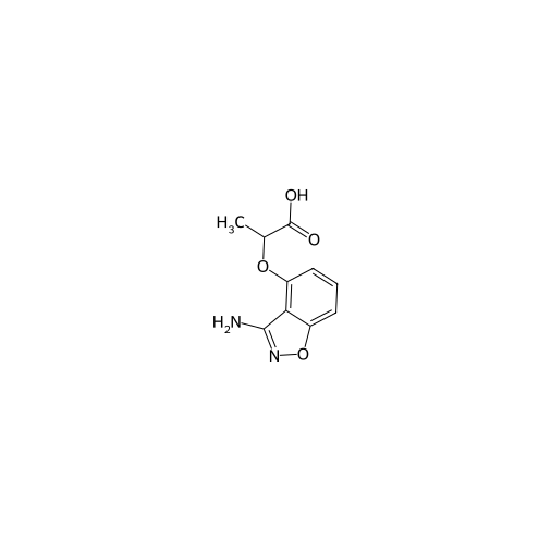 CC(Oc1cccc2onc(N)c12)C(=O)O